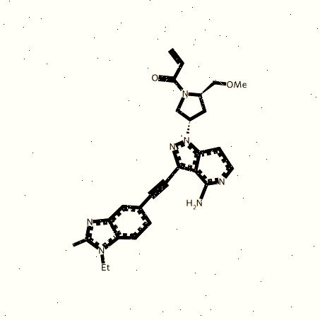 C=CC(=O)N1C[C@@H](n2nc(C#Cc3ccc4c(c3)nc(C)n4CC)c3c(N)nccc32)C[C@@H]1COC